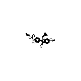 CCCOC(=O)Nc1ccc(-c2c(C#N)c3ccc(OCC)cc3n2CC2CC2)cc1